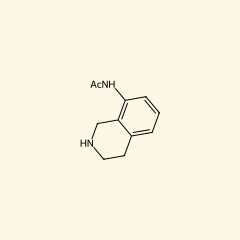 CC(=O)Nc1cccc2c1CNCC2